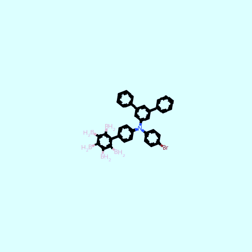 Bc1c(B)c(B)c(-c2ccc(N(c3ccc(Br)cc3)c3cc(-c4ccccc4)cc(-c4ccccc4)c3)cc2)c(B)c1B